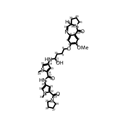 COc1cc2c(cc1OCCCC(O)Nc1cc(C(=O)Nc3cc(C(=O)N4CCCC4)n(C)c3)n(C)c1)N=C[C@@H]1CCCN1C2=O